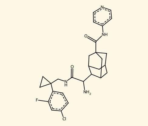 NC(C(=O)NCC1(c2ccc(Cl)cc2F)CC1)C1C2CC3CC1CC(C(=O)Nc1ccncc1)(C3)C2